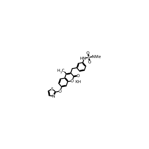 CNS(=O)(=O)Nc1cccc(Cc2c(C)c3ccc(Oc4nccs4)cc3oc2=O)c1.[KH]